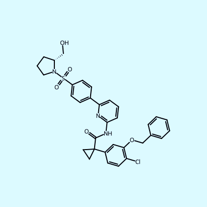 O=C(Nc1cccc(-c2ccc(S(=O)(=O)N3CCC[C@@H]3CO)cc2)n1)C1(c2ccc(Cl)c(OCc3ccccc3)c2)CC1